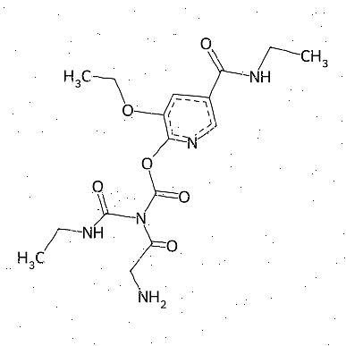 CCNC(=O)c1cnc(OC(=O)N(C(=O)CN)C(=O)NCC)c(OCC)c1